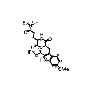 CCN(CC)C(=O)CCC1NC(=O)C2Cc3c([nH]c4cc(OC)ccc34)C(CC(C)C)N2C1=O